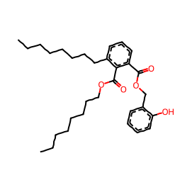 CCCCCCCCOC(=O)c1c(CCCCCCCC)cccc1C(=O)OCc1ccccc1O